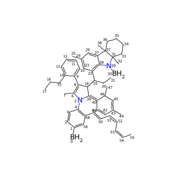 Bc1ccc(N2C(C)=C(c3ccccc3CCC)C(C(CC)c3cc(C)cc4c3N(B)C3(C)CCCCC43C)/C2=C2/C=CC(C)=CC2C)c(/C=C/C=C\C=C/C)c1